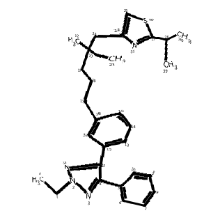 CCn1nc(-c2ccccc2)c(-c2cccc(CCCC(C)(C)Cc3csc(C(C)C)n3)c2)n1